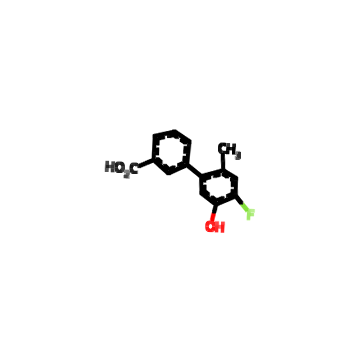 Cc1cc(F)c(O)cc1-c1cccc(C(=O)O)c1